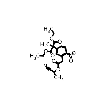 CCOC(=O)C(C)(C(=O)OCC)c1ccc([N+](=O)[O-])c(CC(=O)OC(C)C#N)c1